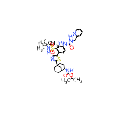 CC(C)OC(=O)NC1CCC2(c3ncc(-c4ccc(NC(=O)NCc5ccccn5)cc4S(=O)(=O)NC(C)(C)C)s3)CCCC1C2